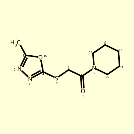 Cc1nnc(SCC(=O)N2CCCCC2)o1